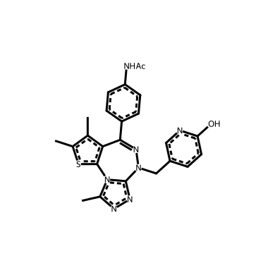 CC(=O)Nc1ccc(C2=NN(Cc3ccc(O)nc3)c3nnc(C)n3-c3sc(C)c(C)c32)cc1